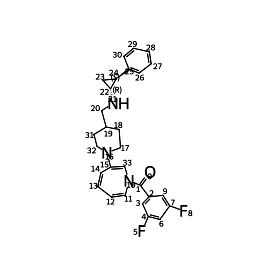 O=C(c1cc(F)cc(F)c1)N1C=CC=CC(N2CCC(CN[C@@H]3C[C@H]3c3ccccc3)CC2)=C1